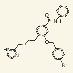 O=C(Nc1ccccc1)c1ccc(CCCCc2ncc[nH]2)c(OCc2ccc(Br)cc2)c1